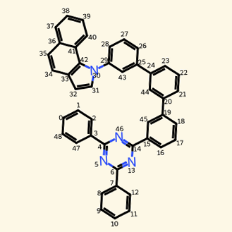 c1ccc(-c2nc(-c3ccccc3)nc(-c3cccc(-c4cccc(-c5cccc(-n6ccc7ccc8ccccc8c76)c5)c4)c3)n2)cc1